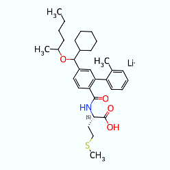 CCCCC(C)OC(c1ccc(C(=O)N[C@@H](CCSC)C(=O)O)c(-c2ccccc2C)c1)C1CCCCC1.[Li]